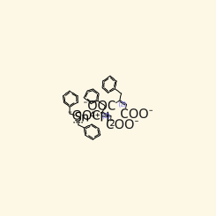 O=C([O-])/C=C(/Cc1ccccc1)C(=O)[O-].O=C([O-])/C=C(/Cc1ccccc1)C(=O)[O-].c1ccc([CH2][SnH2+4][CH2]c2ccccc2)cc1